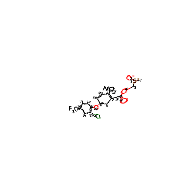 C[S+]([O-])COC(=O)c1cc(Oc2ccc(C(F)(F)F)cc2Cl)ccc1[N+](=O)[O-]